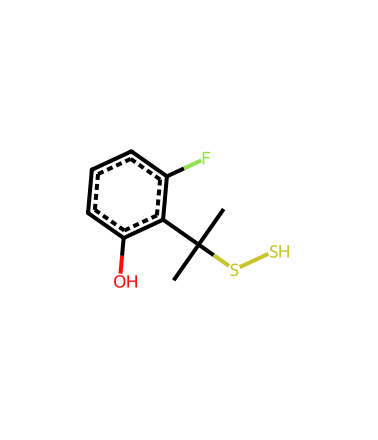 CC(C)(SS)c1c(O)cccc1F